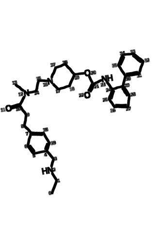 CCNCc1ccc(CCC(=O)N(C)CCN2CCC(OC(=O)Nc3ccccc3-c3ccccc3)CC2)cc1